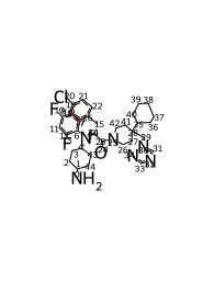 N[C@H]1CC[C@@H](N(c2ccc(F)cc2F)[C@H](Cc2ccc(Cl)cc2)C(=O)N2CCC(Cn3cncn3)(C3CCCCC3)CC2)CC1